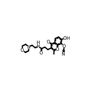 Cc1oc2c(OC#N)c(O)ccc2c(=O)c1CCC(=O)NCCN1CCOCC1